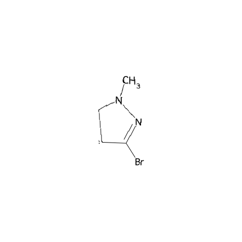 CN1C[C]C(Br)=N1